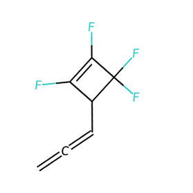 C=C=CC1C(F)=C(F)C1(F)F